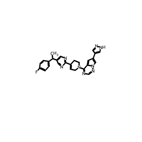 CC(c1ccc(F)cc1)c1cnc(C2=CCN(c3ncnn4cc(-c5cn[nH]c5)cc34)CC2)nc1